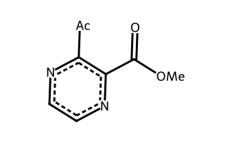 COC(=O)c1nccnc1C(C)=O